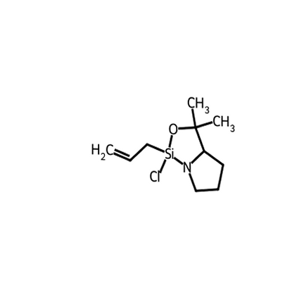 C=CC[Si]1(Cl)OC(C)(C)C2CCCN21